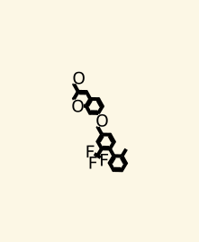 Cc1ccccc1-c1ccc(COc2ccc3c(c2)OCC(C=O)=C3)cc1C(F)(F)F